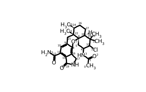 CC(=O)NC1C[C@@]23Oc4c(cc(C(N)=O)c5c4CNC5=O)C[C@]2(C)[C@@H](C)CC[C@H]3C(C)(C)C1Cl